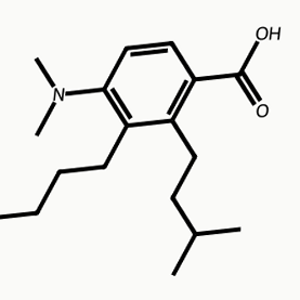 CCCCc1c(N(C)C)ccc(C(=O)O)c1CCC(C)C